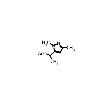 CC(=O)OC(C)c1cc(C)nn1C